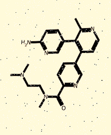 Cc1nccc(-c2ccc(C(=O)N(C)CCN(C)C)nc2)c1-c1ccc(N)nc1